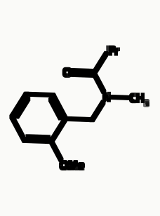 COc1ccccc1CN(C)C(=O)C(C)C